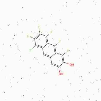 Oc1cc2cc3c(F)c(F)c(F)c(F)c3c(F)c2c(F)c1O